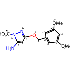 COc1cc(COc2cc(N)n(C(=O)O)n2)cc(OC)c1